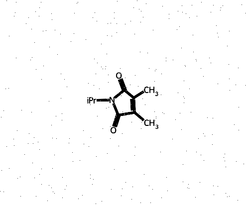 CC1=C(C)C(=O)N(C(C)C)C1=O